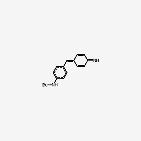 CCC(C)Nc1ccc(C=C2C=CC(=N)C=C2)cc1